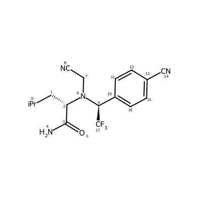 CC(C)C[C@@H](C(N)=O)N(CC#N)[C@@H](c1ccc(C#N)cc1)C(F)(F)F